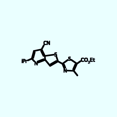 CCOC(=O)c1sc(-c2cc3nc(C(C)C)cc(C#N)c3s2)nc1C